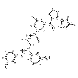 Cc1cc(C(=O)N2CCC[C@@H]2c2nc(C)co2)cc(C(=O)N[C@@H](C)CC(NCc2cccc(C(F)(F)F)c2)c2cccc(O)c2)n1